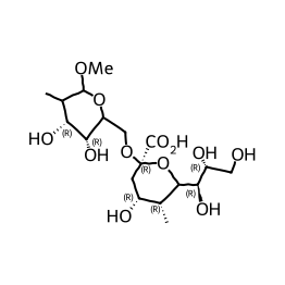 COC1OC(CO[C@]2(C(=O)O)C[C@@H](O)[C@@H](C)C([C@H](O)[C@H](O)CO)O2)[C@H](O)[C@H](O)C1C